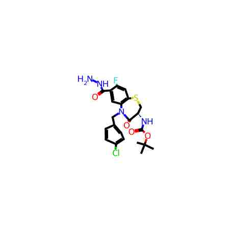 CC(C)(C)OC(=O)N[C@H]1CSc2cc(F)c(C(=O)NN)cc2N(Cc2ccc(Cl)cc2)C1=O